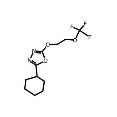 FC(F)(F)OCCOc1nnc(C2CCCCC2)o1